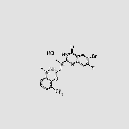 C[C@H](CCOc1c([C@@H](C)N)cccc1C(F)(F)F)c1nc2cc(F)c(Br)cc2c(=O)[nH]1.Cl